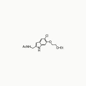 CCOCCOc1cc2[nH]c(CNC(C)=O)cc2cc1Cl